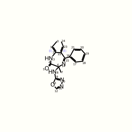 C/C=C1/NC(=O)C(C)(Nc2nnco2)N=C(c2ccccc2)/C1=C/C